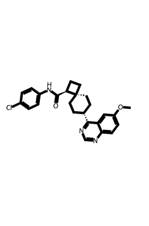 COc1ccc2ncnc([C@H]3CC[C@]4(CC[C@@H]4C(=O)Nc4ccc(Cl)cc4)CC3)c2c1